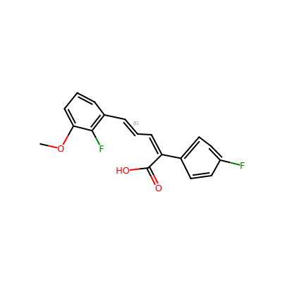 COc1cccc(/C=C/C=C(C(=O)O)c2ccc(F)cc2)c1F